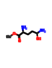 CC(C)(C)OC(=O)[C@@H](N)CCC(N)O